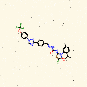 Cc1ccc(C(C)C)c(N2C(=O)C(Cl)S/C2=N\C(=O)N/N=C/c2ccc(-c3ncn(-c4ccc(OC(F)(F)F)cc4)n3)cc2)c1